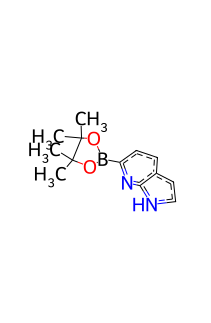 CC1(C)OB(c2ccc3cc[nH]c3n2)OC1(C)C